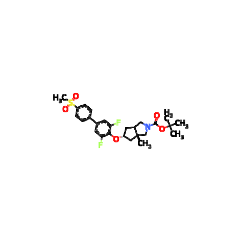 CC(C)(C)OC(=O)N1CC2C[C@@H](Oc3c(F)cc(-c4ccc(S(C)(=O)=O)cc4)cc3F)C[C@@]2(C)C1